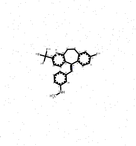 CNc1cccc(/C=C2/c3ccc(F)cc3CCc3nc(C(F)(F)F)ccc32)c1